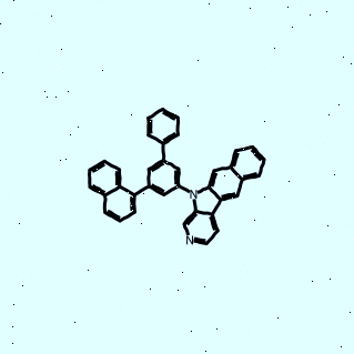 c1ccc(-c2cc(-c3cccc4ccccc34)cc(-n3c4cnccc4c4cc5ccccc5cc43)c2)cc1